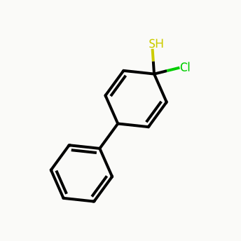 SC1(Cl)C=CC(c2ccccc2)C=C1